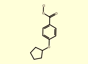 O=C(OCl)c1ccc(OC2CCCC2)cc1